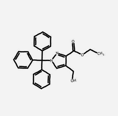 CCOC(=O)c1nn(C(c2ccccc2)(c2ccccc2)c2ccccc2)cc1CO